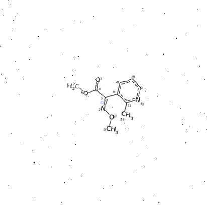 CO/N=C(/C(=O)OC)c1cccnc1C